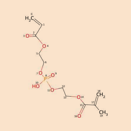 C=CC(=O)OCCOP(=O)(O)OCCOC(=O)C(=C)C